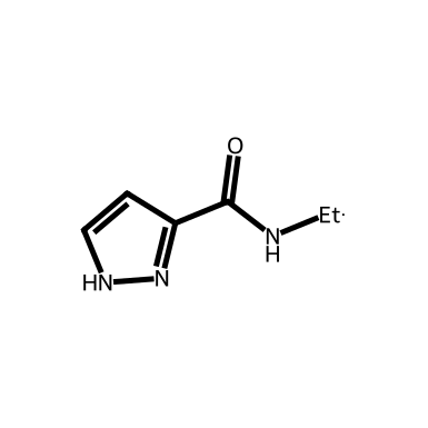 C[CH]NC(=O)c1cc[nH]n1